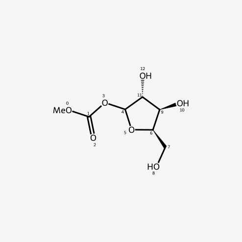 COC(=O)OC1O[C@H](CO)[C@H](O)[C@H]1O